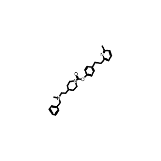 Cc1cccc(CCc2ccc(OC(=O)N3CCC(CCN(C)Cc4ccccc4)CC3)cc2)n1